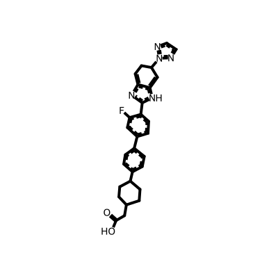 O=C(O)CC1CCC(c2ccc(-c3ccc(-c4nc5c([nH]4)=CC(n4nccn4)CC=5)c(F)c3)cc2)CC1